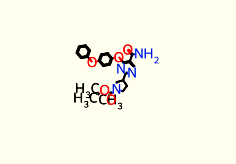 CC(C)(C)OC(=O)N1CCC(c2ncc(C(N)=O)c(Oc3ccc(Oc4ccccc4)cc3)n2)C1